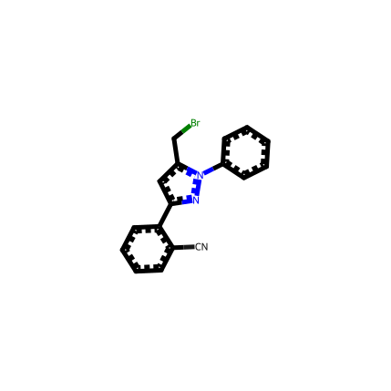 N#Cc1ccccc1-c1cc(CBr)n(-c2ccccc2)n1